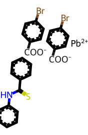 O=C([O-])c1ccc(Br)cc1.O=C([O-])c1ccc(Br)cc1.S=C(Nc1ccccc1)c1ccccc1.[Pb+2]